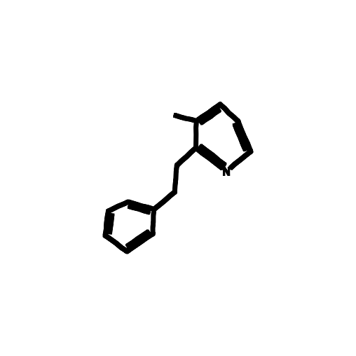 Cc1cccnc1CCc1ccccc1